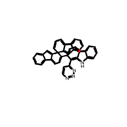 C1=CC2(C3=Cc4ccccc4C3=C1)C1=Cc3ccccc3C1=CC=C2c1ccc2c([nH]c3ccccc32)c1-c1ccnnn1